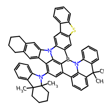 CC1(C)c2ccccc2N2B3c4cc5sc6ccccc6c5cc4-n4c5cc6c(cc5c5c(N7c8ccccc8C8(C)CCCCC78C)cc(c3c54)-c3cccc1c32)CCCC6